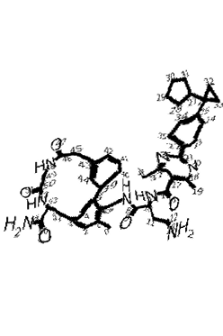 Cc1cc2cc(c1NC(=O)[C@H](CCN)NC(=O)c1c(C)nc(-c3ccc(C4(C5CCCC5)CC4)cc3)nc1C)-c1cccc(c1)CC(=O)NCC(=O)NC(C(N)=O)C2